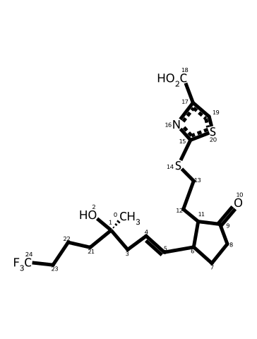 C[C@](O)(C/C=C/C1CCC(=O)C1CCSc1nc(C(=O)O)cs1)CCCC(F)(F)F